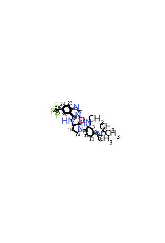 CNC1C[C@H](N(C)C(C)C)CC[C@@H]1N1CCC(Nc2ncnc3ccc(C(F)(F)F)cc23)C1=O